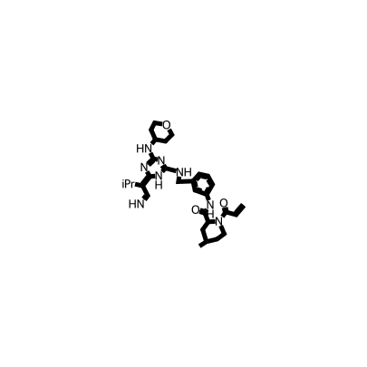 C=CC(=O)N1CCC(C)CC1C(=O)Nc1cccc(CNC2=NC(NC3CCOCC3)=N/C(=C(/C=N)C(C)C)N2)c1